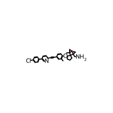 Cc1cc(C#Cc2ccc(-c3ccc(Cl)cc3)cn2)ccc1OCC1(C2(C3(CN)CC3)CCCC2)CC1